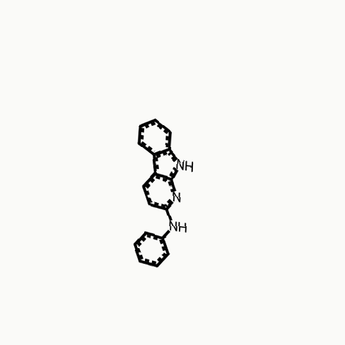 c1ccc(Nc2ccc3c(n2)[nH]c2ccccc23)cc1